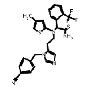 Cc1csc(N(CCc2cncn2Cc2ccc(C#N)cc2)C(C(N)=S)c2ccccc2C(F)(F)F)c1